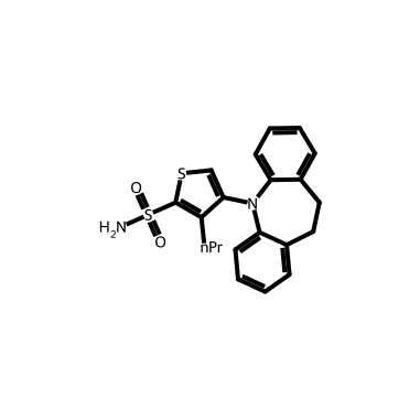 CCCc1c(N2c3ccccc3CCc3ccccc32)csc1S(N)(=O)=O